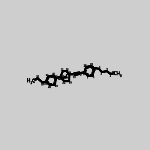 CCCCCc1ccc(C#CC23CCC(c4ccc(CCC)cc4)(CC2)CC3)cc1